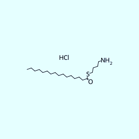 CCCCCCCCCCCCCCCC(=O)SCCCCN.Cl